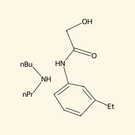 CCCCNCCC.CCc1cccc(NC(=O)CO)c1